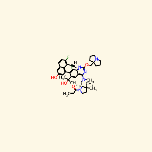 C#Cc1c(F)ccc2cc(O)cc(-c3c(C(C)(C)O)cc4c(N(C)C[C@H]5N(C(=O)C=C)CCC5(C)C)nc(OCC56CCCN5CCC6)nc4c3F)c12